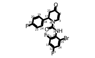 O=C1C=CN(C(=O)Nc2c(F)cc(F)cc2Br)C(c2ccc(F)cc2)C1